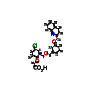 Cc1cc(Cl)cc(COCc2cccc(OCc3ccc4ccccc4n3)c2)c1OCC(=O)O